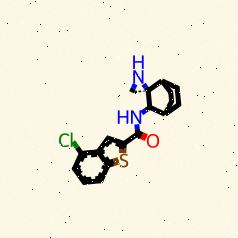 O=C(NC1C2CCC(CC2)[C@@]12CN2)c1cc2c(Cl)cccc2s1